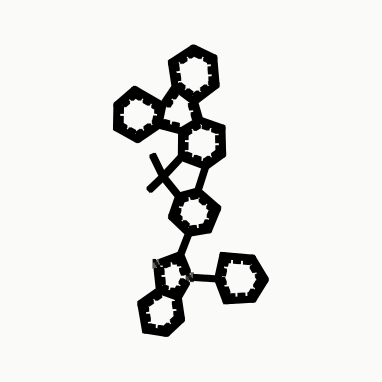 CC1(C)c2cc(-c3nc4ccccc4n3-c3ccccc3)ccc2-c2ccc3c4ccccc4c4ccccc4c3c21